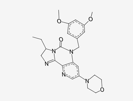 CCC1CN=C2c3ncc(N4CCOCC4)cc3N(Cc3cc(OC)cc(OC)c3)C(=O)N21